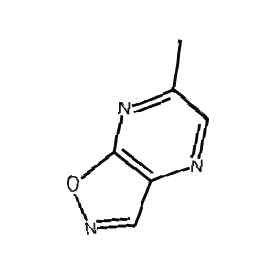 Cc1cnc2cnoc2n1